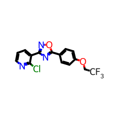 FC(F)(F)COc1ccc(-c2nc(-c3cccnc3Cl)no2)cc1